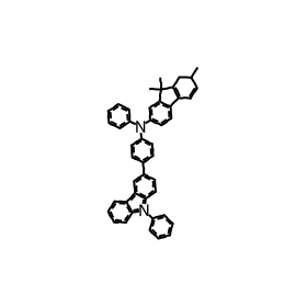 CC1C=CC2=C(C1)C(C)(C)c1cc(N(c3ccccc3)c3ccc(-c4ccc5c(c4)c4ccccc4n5-c4ccccc4)cc3)ccc12